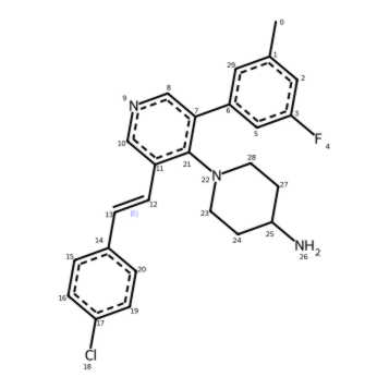 Cc1cc(F)cc(-c2cncc(/C=C/c3ccc(Cl)cc3)c2N2CCC(N)CC2)c1